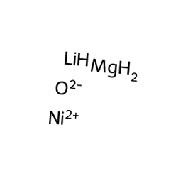 [LiH].[MgH2].[Ni+2].[O-2]